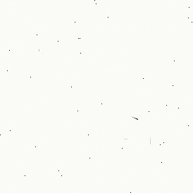 O=Cc1ccc([C@H]2CC[C@H](C=C(F)F)CC2)cc1